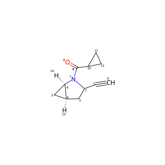 C#CC1C[C@H]2C[C@H]2N1C(=O)C1CC1